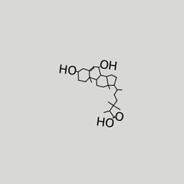 CC(CCC(C)(C)C(C)C(=O)O)C1CCC2C3C(O)C=C4CC(O)CCC4(C)C3CCC12C